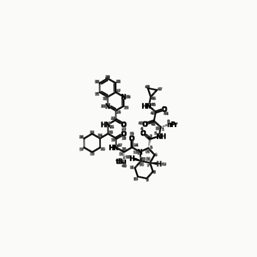 CCC[C@H](NC(=O)[C@@H]1C[C@@H]2CCCC[C@@H]2N1C(=O)[C@@H](NC(=O)C(NC(=O)c1cnc2ccccc2n1)C1CCCCC1)C(C)(C)C)C(=O)C(=O)NC1CC1